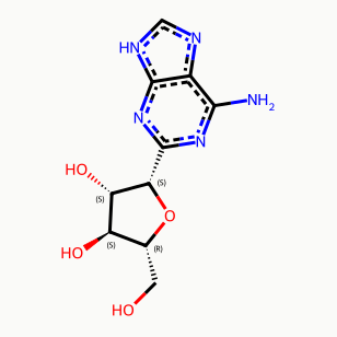 Nc1nc([C@@H]2O[C@H](CO)[C@@H](O)[C@@H]2O)nc2[nH]cnc12